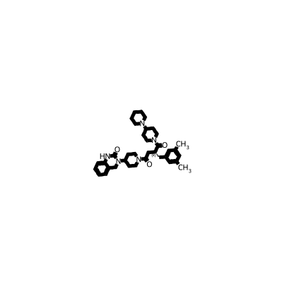 Cc1cc(C)cc(C[C@H](CC(=O)N2CCC(N3Cc4ccccc4NC3=O)CC2)C(=O)N2CCC(N3CCCCC3)CC2)c1